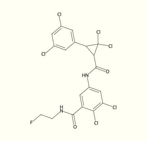 O=C(NCCF)c1cc(NC(=O)C2C(c3cc(Cl)cc(Cl)c3)C2(Cl)Cl)cc(Cl)c1Cl